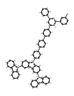 Cc1cccc(-c2nc(-c3ccccc3)cc(-c3ccc(-c4ccc(-c5ccc(-n6c7ccc(-n8c9ccccc9c9ccccc98)cc7c7cc(-n8c9ccccc9c9ccccc98)ccc76)cc5)cc4)cc3)n2)c1